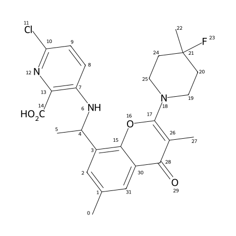 Cc1cc(C(C)Nc2ccc(Cl)nc2C(=O)O)c2oc(N3CCC(C)(F)CC3)c(C)c(=O)c2c1